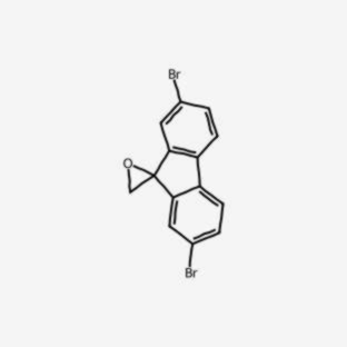 Brc1ccc2c(c1)C1(CO1)c1cc(Br)ccc1-2